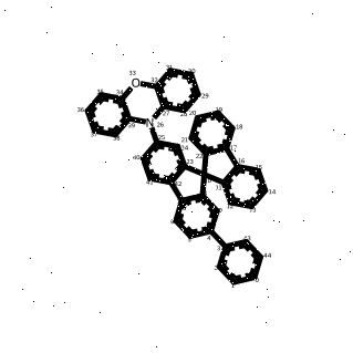 c1ccc(-c2ccc3c(c2)C2(c4ccccc4-c4ccccc42)c2cc(N4c5ccccc5Oc5ccccc54)ccc2-3)cc1